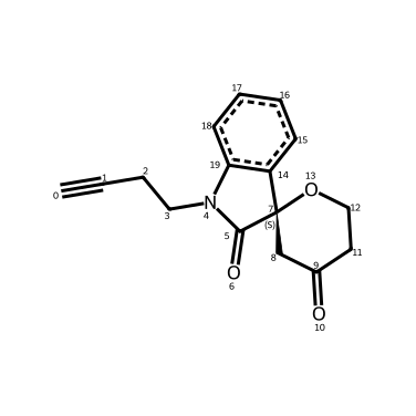 C#CCCN1C(=O)[C@]2(CC(=O)CCO2)c2ccccc21